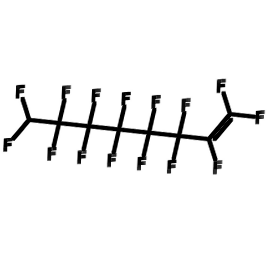 FC(F)=C(F)C(F)(F)C(F)(F)C(F)(F)C(F)(F)C(F)(F)C(F)F